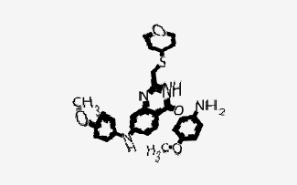 COc1ccc(N)cc1.COc1ccc(Nc2ccc3c(=O)[nH]c(CSC4CCOCC4)nc3c2)cc1